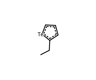 CCc1ccc[te]1